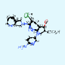 Nc1ccc(-n2cc(C(=O)O)c(=O)c3cc(Cl)c(N4Cc5cccnc5C4)nc32)cn1